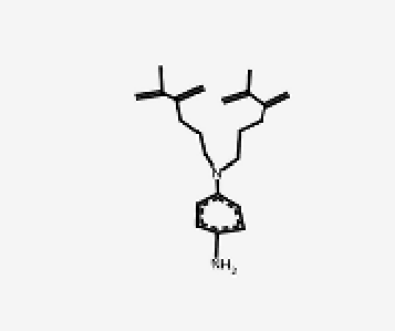 C=C(C)C(=C)CCCN(CCCC(=C)C(=C)C)c1ccc(N)cc1